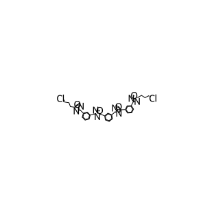 ClCCCc1nc(-c2cccc(-c3noc(-c4cccc(-c5noc(-c6cccc(-c7noc(CCCCl)n7)c6)n5)c4)n3)c2)no1